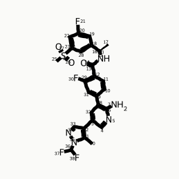 Cc1c(-c2cnc(N)c(-c3ccc(C(=O)N[C@H](C)c4cc(F)cc(S(C)(=O)=O)c4)c(F)c3)c2)cnn1C(F)F